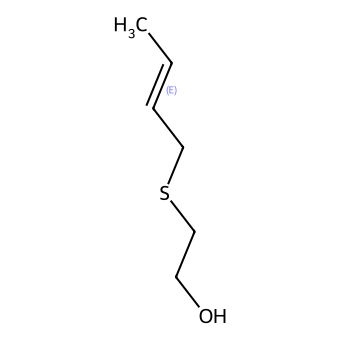 C/C=C/CSCCO